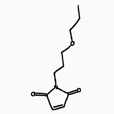 CCCOCCCN1C(=O)C=CC1=O